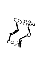 C=COCCCC.O=C(O)C=CC(=O)O